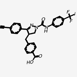 N#Cc1ccc(C2=NN(C(=O)Nc3ccc(C(F)(F)F)cc3)CC2Cc2ccc(C(=O)O)cc2)cc1